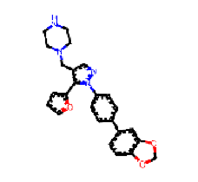 c1coc(-c2c(CN3CCNCC3)cnn2-c2ccc(-c3ccc4c(c3)OCO4)cc2)c1